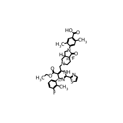 CCOC(=O)C1=C(CN2CC[C@]3(F)C(=O)N(c4cc(C)c(C(=O)O)cc4C)C[C@@H]3C2)NC(c2nccs2)=N[C@H]1c1cccc(F)c1C